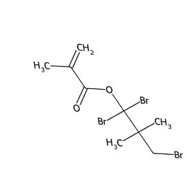 C=C(C)C(=O)OC(Br)(Br)C(C)(C)CBr